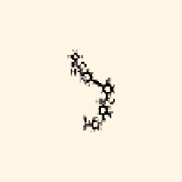 Cc1ccc(C(=O)Nc2ccc(CN3CC[C@H](N(C)C)C3)c(F)c2)cc1C#Cc1ccc(NC(=O)NC2CCC2)nc1